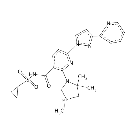 C[C@@H]1CN(c2nc(-n3ccc(-c4ccccn4)n3)ccc2C(=O)NS(=O)(=O)C2CC2)C(C)(C)C1